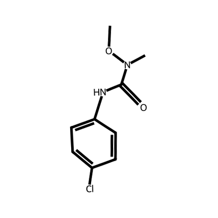 CON(C)C(=O)Nc1ccc(Cl)cc1